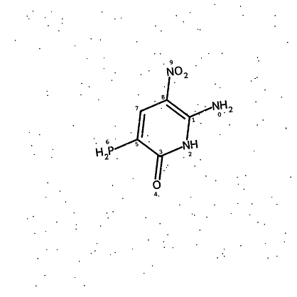 Nc1[nH]c(=O)c(P)cc1[N+](=O)[O-]